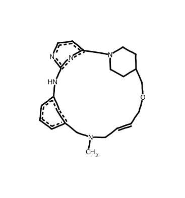 CN1C/C=C/COCC2CCN(CC2)c2ccnc(n2)Nc2cccc(c2)C1